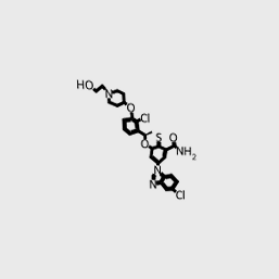 C[C@@H](OC1C=C(n2cnc3cc(Cl)ccc32)C=C(C(N)=O)C1=S)c1cccc(OC2CCN(CCO)CC2)c1Cl